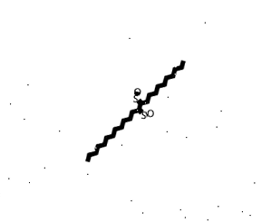 CCCCCCCCCCCCC(=S=O)C(CCCCCCCCCC)=S=O